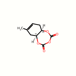 CC1=CC[C@H]2OC(=O)OC(=O)O[C@H]2C1